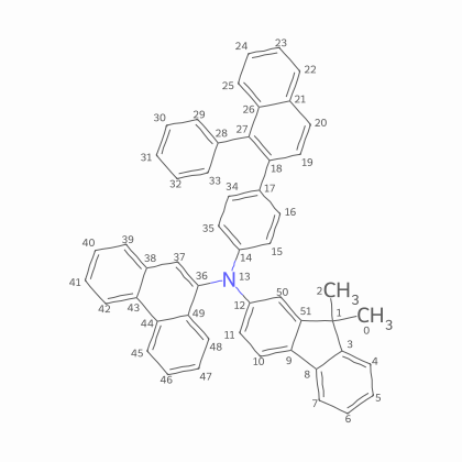 CC1(C)c2ccccc2-c2ccc(N(c3ccc(-c4ccc5ccccc5c4-c4ccccc4)cc3)c3cc4ccccc4c4ccccc34)cc21